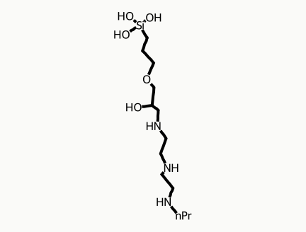 CCCNCCNCCNCC(O)COCCC[Si](O)(O)O